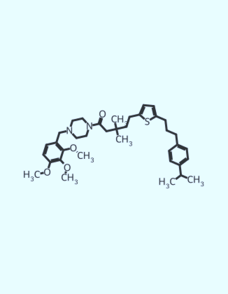 COc1ccc(CN2CCN(C(=O)CC(C)(C)CCc3ccc(CCCc4ccc(C(C)C)cc4)s3)CC2)c(OC)c1OC